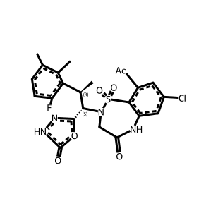 CC(=O)c1cc(Cl)cc2c1S(=O)(=O)N([C@H](c1n[nH]c(=O)o1)[C@H](C)c1c(F)ccc(C)c1C)CC(=O)N2